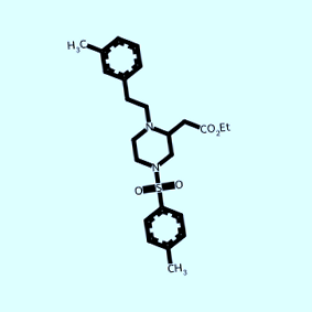 CCOC(=O)CC1CN(S(=O)(=O)c2ccc(C)cc2)CCN1CCc1cccc(C)c1